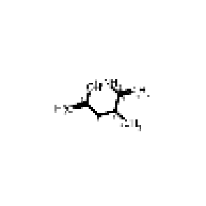 C=C(O)CC(C)C(=C)N